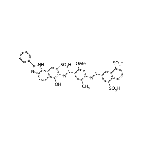 COc1cc(/N=N/c2cc(S(=O)(=O)O)c3cccc(S(=O)(=O)O)c3c2)c(C)cc1/N=N/c1c(S(=O)(=O)O)cc2c(ccc3nc(-c4ccccc4)[nH]c32)c1O